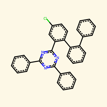 Clc1ccc(-c2ccccc2-c2ccccc2)c(-c2nc(-c3ccccc3)nc(-c3ccccc3)n2)c1